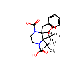 CC(C)(C)C1(C(C)(C)C)N(C(=O)O)CCN(C(=O)O)C1(CO)Cc1ccccc1